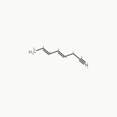 CC=CC=CCC#N